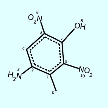 Cc1c(N)cc([N+](=O)[O-])c(O)c1[N+](=O)[O-]